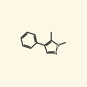 Cc1c(-c2ccccc2)[c]nn1C